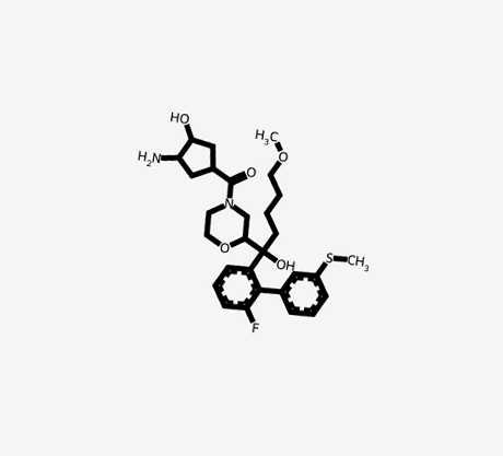 COCCCCC(O)(c1cccc(F)c1-c1cccc(SC)c1)C1CN(C(=O)C2CC(N)C(O)C2)CCO1